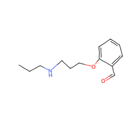 CCCNCCCOc1ccccc1C=O